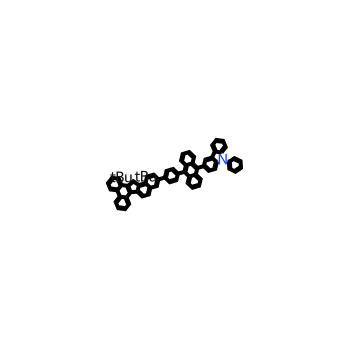 CC(C)(C)C1(C(C)(C)C)c2c(ccc3cc(-c4ccc(-c5c6ccccc6c(-c6ccc7c(c6)c6ccccc6n7-c6ccccc6)c6ccccc56)cc4)ccc23)-c2c1c1ccccc1c1ccccc21